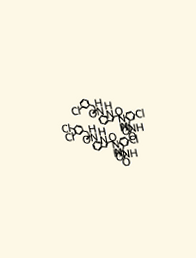 O=C(Cc1ccc(Cl)c(Cl)c1)Nc1cccc2cc(C(=O)Nc3ccc(Cl)cc3-c3noc(=O)[nH]3)[nH]c12.O=C(Cc1cccc(Cl)c1)Nc1cccc2cc(C(=O)Nc3ccc(Cl)cc3-c3noc(=O)[nH]3)[nH]c12